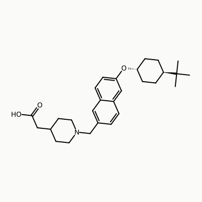 CC(C)(C)[C@H]1CC[C@H](Oc2ccc3cc(CN4CCC(CC(=O)O)CC4)ccc3c2)CC1